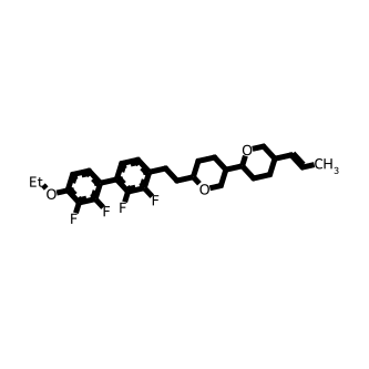 C/C=C/C1CCC(C2CCC(CCc3ccc(-c4ccc(OCC)c(F)c4F)c(F)c3F)OC2)OC1